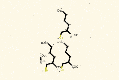 CCCCCCCCCCCCCC(CS)C(=O)[O-].CCCCCCCCCCCCCC(CS)C(=O)[O-].CCCCCCCCCCCCCC(CS)C(=O)[O-].CCCCCCC[CH2][Sn+3]